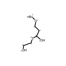 CCCCOCCC(O)SCCO